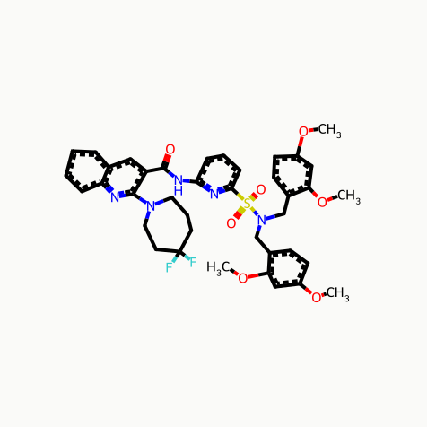 COc1ccc(CN(Cc2ccc(OC)cc2OC)S(=O)(=O)c2cccc(NC(=O)c3cc4ccccc4nc3N3CCCC(F)(F)CC3)n2)c(OC)c1